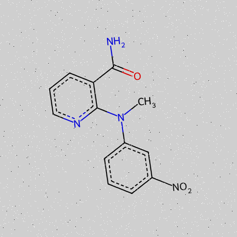 CN(c1cccc([N+](=O)[O-])c1)c1ncccc1C(N)=O